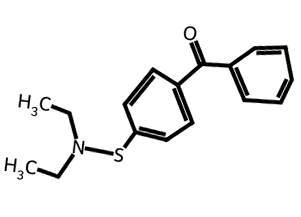 CCN(CC)Sc1ccc(C(=O)c2ccccc2)cc1